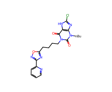 CCCCn1c(=O)n(CCCCc2nc(-c3ccccn3)no2)c(=O)c2[nH]c(Cl)nc21